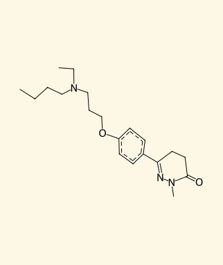 CCCCN(CC)CCCOc1ccc(C2=NN(C)C(=O)CC2)cc1